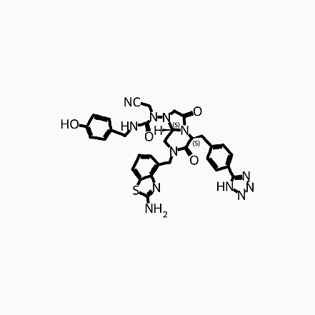 N#CCN(C(=O)NCc1ccc(O)cc1)N1CC(=O)N2[C@@H](Cc3ccc(-c4nnn[nH]4)cc3)C(=O)N(Cc3cccc4sc(N)nc34)C[C@@H]21